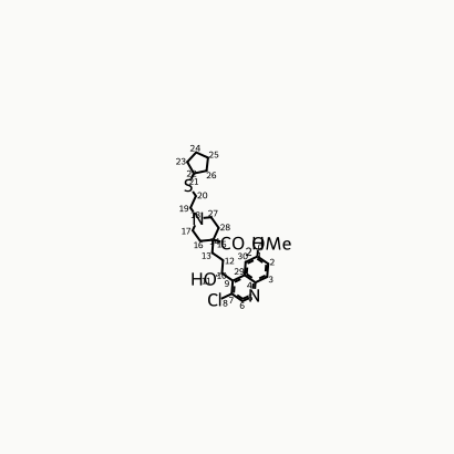 COc1ccc2ncc(Cl)c([C@H](O)CCC3(C(=O)O)CCN(CCSC4CCCC4)CC3)c2c1